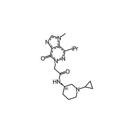 CC(C)c1nn(CC(=O)N[C@@H]2CCCN(C3CC3)C2)c(=O)c2ncn(C)c12